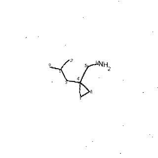 CC(C)CC1(CN)CC1